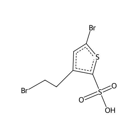 O=S(=O)(O)c1sc(Br)cc1CCBr